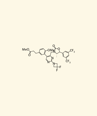 COC(=O)CCc1ccc(OC)c(-c2cnc(N3CC(F)(F)C3)nc2CN2C(=O)OC(c3cc(C(F)(F)F)cc(C(F)(F)F)c3)[C@@H]2C)c1